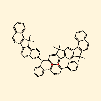 CC1(C)c2cc(N(c3ccc4c5c(ccc4c3)-c3ccc4ccccc4c3C5(C)C)c3ccccc3-c3ccc(-c4ccccc4)cc3)ccc2-c2cc3c(cc21)-c1c(ccc2ccccc12)C3(C)C